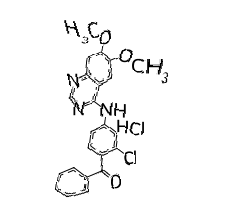 COc1cc2ncnc(Nc3ccc(C(=O)c4ccccc4)c(Cl)c3)c2cc1OC.Cl